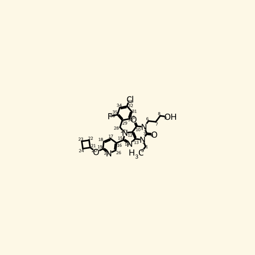 CCn1c(=O)n(CCCO)c(=O)c2c1nc(-c1ccc(OC3CCC3)nc1)n2Cc1ccc(Cl)cc1F